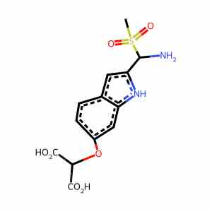 CS(=O)(=O)C(N)c1cc2ccc(OC(C(=O)O)C(=O)O)cc2[nH]1